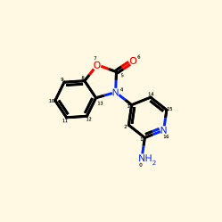 Nc1cc(-n2c(=O)oc3ccccc32)ccn1